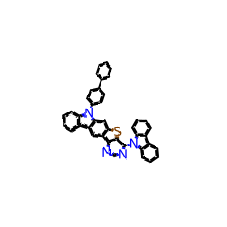 c1ccc(-c2ccc(-n3c4ccccc4c4cc5c(cc43)sc3c(-n4c6ccccc6c6ccccc64)ncnc35)cc2)cc1